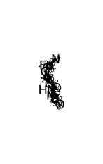 COc1ccc2nc(NC(=O)[C@@H](C)Oc3ccc(Oc4ccc(C#N)cc4F)cc3)sc2c1